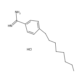 CCCCCCCCc1ccc(C(=N)N)cc1.Cl